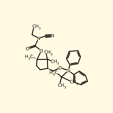 CCN(C#N)C(=O)O[C@]1(C)CC[C@H](CO[Si](c2ccccc2)(c2ccccc2)C(C)(C)C)C1(C)C